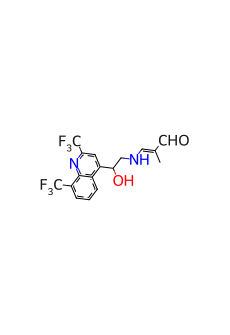 C/C(C=O)=C\NCC(O)c1cc(C(F)(F)F)nc2c(C(F)(F)F)cccc12